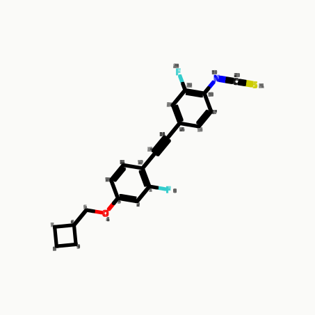 Fc1cc(OCC2CCC2)ccc1C#Cc1ccc(N=C=S)c(F)c1